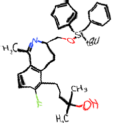 CC1=N[C@@H](CO[Si](c2ccccc2)(c2ccccc2)C(C)(C)C)Cc2c1ccc(F)c2CCC(C)(C)O